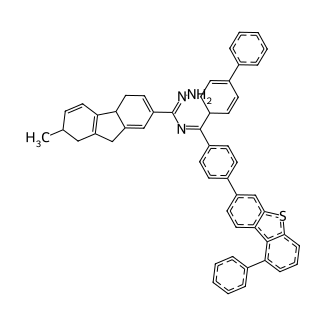 CC1C=CC2=C(CC3=CC(C(=N/N)/N=C(/c4ccc(-c5ccc6c(c5)sc5cccc(-c7ccccc7)c56)cc4)C4C=CC(c5ccccc5)=CC4)=CCC32)C1